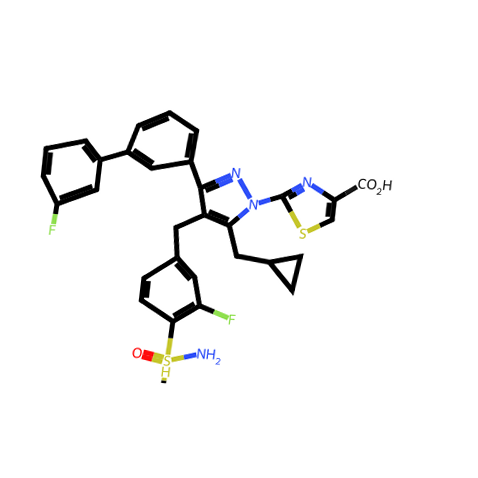 C[SH](N)(=O)c1ccc(Cc2c(-c3cccc(-c4cccc(F)c4)c3)nn(-c3nc(C(=O)O)cs3)c2CC2CC2)cc1F